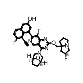 C#Cc1c(F)ccc2cc(O)cc(-c3ncc4c(N5C[C@H]6CC[C@@H](C5)O6)nc(OC[C@@]56CCCN5C[C@H](F)C6)nc4c3F)c12